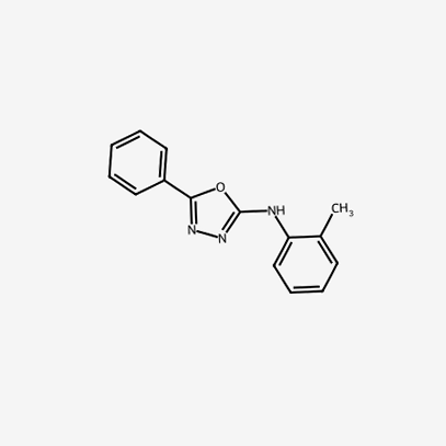 Cc1ccccc1Nc1nnc(-c2ccccc2)o1